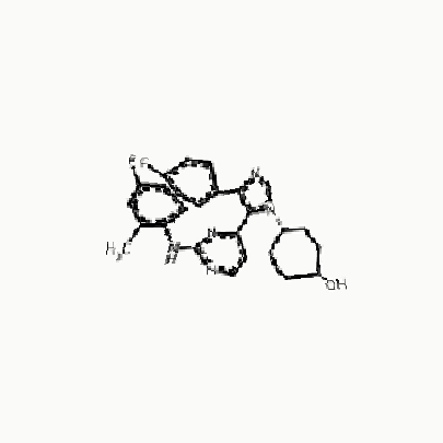 Cc1cc(F)ccc1Nc1nccc(-c2c(-c3ccc(F)cc3)ncn2[C@H]2CC[C@@H](O)CC2)n1